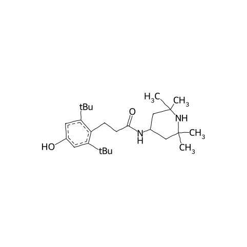 CC1(C)CC(NC(=O)CCc2c(C(C)(C)C)cc(O)cc2C(C)(C)C)CC(C)(C)N1